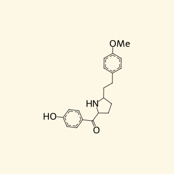 COc1ccc(CCC2CCC(C(=O)c3ccc(O)cc3)N2)cc1